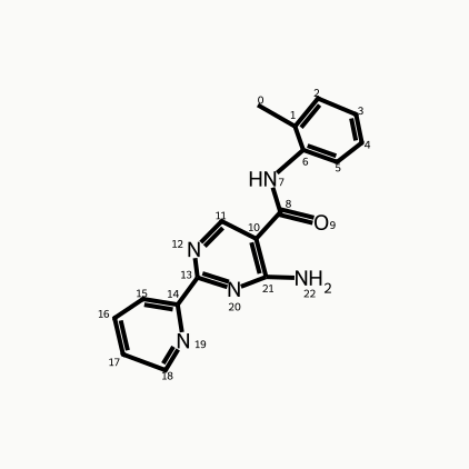 Cc1ccccc1NC(=O)c1cnc(-c2ccccn2)nc1N